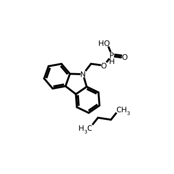 CCCC.O=[PH](O)OCn1c2ccccc2c2ccccc21